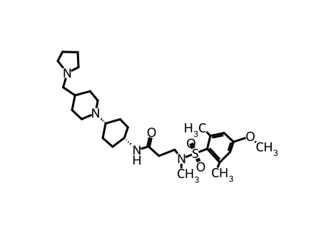 COc1cc(C)c(S(=O)(=O)N(C)CCC(=O)N[C@H]2CC[C@@H](N3CCC(CN4CCCC4)CC3)CC2)c(C)c1